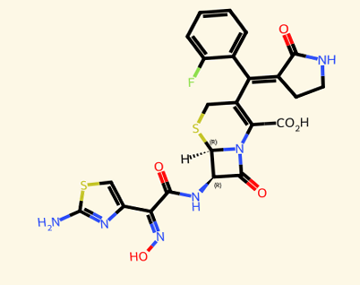 Nc1nc(C(=NO)C(=O)N[C@@H]2C(=O)N3C(C(=O)O)=C(C(=C4CCNC4=O)c4ccccc4F)CS[C@H]23)cs1